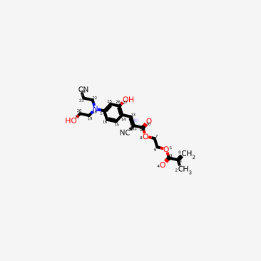 C=C(C)C(=O)OCCOC(=O)/C(C#N)=C/c1ccc(N(CCO)CCC#N)cc1O